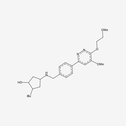 CCC(C)C1CC(NCc2ccc(-c3cc(OC)c(OCCOC)nn3)cc2)CC1O